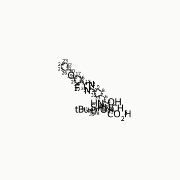 C[C@@H](NC(O)[C@H](Cc1ccc(-c2ncc(-c3ccc(OCc4ccccc4)cc3F)cn2)cc1)NC(=O)c1ccc(C(C)(C)C)s1)C(=O)O